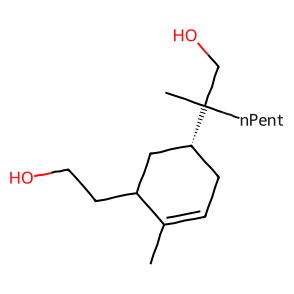 CCCCCC(C)(CO)[C@@H]1CC=C(C)C(CCO)C1